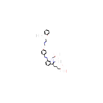 Cc1ccccc1OC/C=C/COc1ccc(/C=C/c2cccc3c(CCCC(=O)O)c(C)n(CC(=O)O)c23)cc1